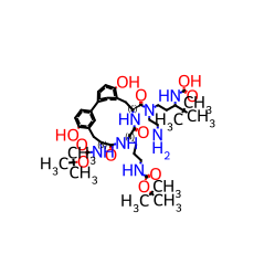 CC(C)(C)OC(=O)NCCC[C@@H]1NC(=O)[C@@H](NC(=O)OC(C)(C)C)Cc2cc(ccc2O)-c2ccc(O)c(c2)C[C@@H](C(=O)N(CCN)CCC(NC(=O)O)C(C)(C)C)NC1=O